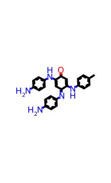 Cc1ccc(NC2=CC(=O)C(Nc3ccc(N)cc3)=CC2=Nc2ccc(N)cc2)cc1